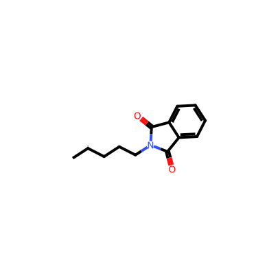 C[CH]CCCN1C(=O)c2ccccc2C1=O